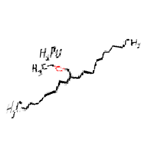 CCCCCCCCCCC(CCCCCCCC)COCC.[PoH2]